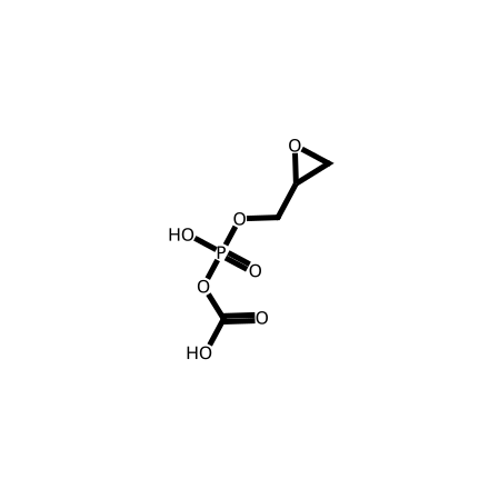 O=C(O)OP(=O)(O)OCC1CO1